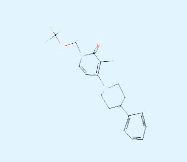 O=c1c(Cl)c(N2CCC(c3ccccc3)CC2)ccn1COC(F)(F)F